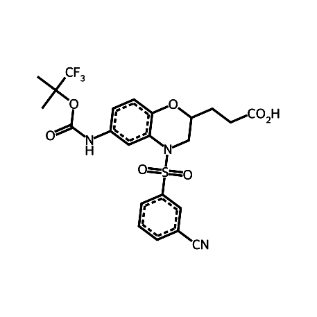 CC(C)(OC(=O)Nc1ccc2c(c1)N(S(=O)(=O)c1cccc(C#N)c1)CC(CCC(=O)O)O2)C(F)(F)F